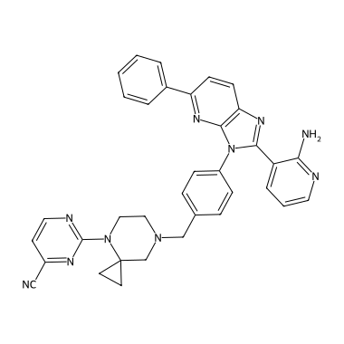 N#Cc1ccnc(N2CCN(Cc3ccc(-n4c(-c5cccnc5N)nc5ccc(-c6ccccc6)nc54)cc3)CC23CC3)n1